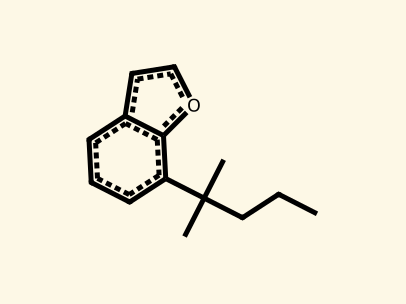 CCCC(C)(C)c1cccc2ccoc12